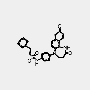 O=C1C=Cc2c(ccc3c2NC(=O)CCN3c2ccc(NS(=O)(=O)CCc3ccccc3)cc2)C1